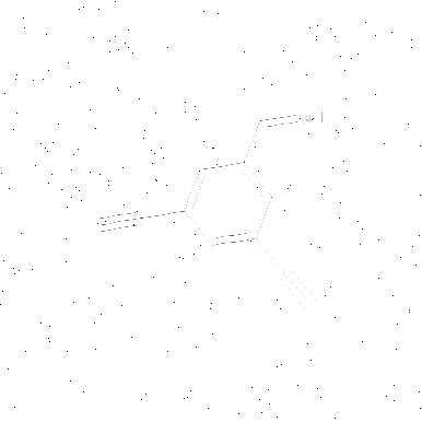 [C]#Cc1cc(C#[C])cc(C=[SiH2])c1